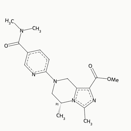 COC(=O)c1nc(C)n2c1CN(c1ccc(C(=O)N(C)C)cn1)C[C@H]2C